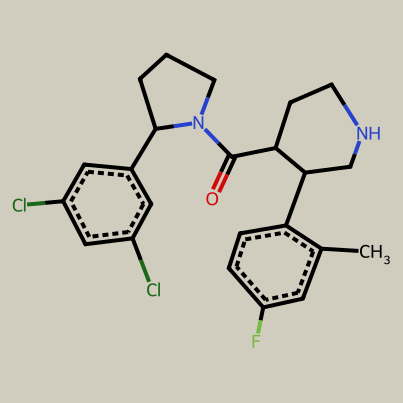 Cc1cc(F)ccc1C1CNCCC1C(=O)N1CCCC1c1cc(Cl)cc(Cl)c1